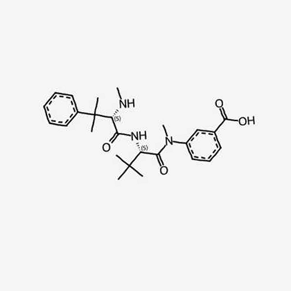 CN[C@H](C(=O)N[C@H](C(=O)N(C)c1cccc(C(=O)O)c1)C(C)(C)C)C(C)(C)c1ccccc1